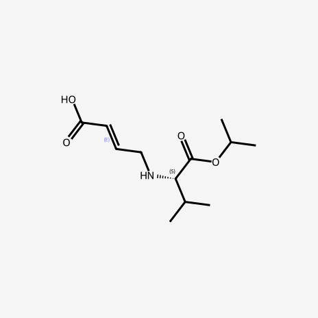 CC(C)OC(=O)[C@@H](NC/C=C/C(=O)O)C(C)C